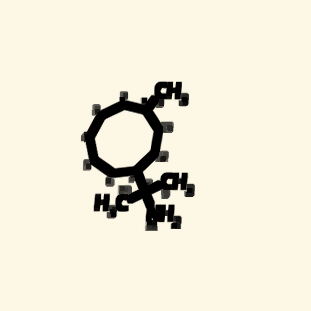 CC1CCCCCC(C(C)(C)N)CC1